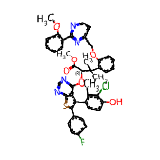 COC(=O)[C@H](Oc1ncnc2sc(-c3ccc(F)cc3)c(-c3ccc(O)c(Cl)c3C)c12)C(C)(C)c1ccccc1OCc1ccnc(-c2ccccc2OC)n1